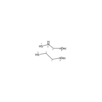 CCCCCCCCCCCCS.CCCCCCCCCCCNS